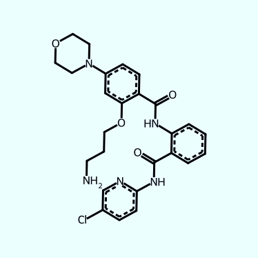 NCCCOc1cc(N2CCOCC2)ccc1C(=O)Nc1ccccc1C(=O)Nc1ccc(Cl)cn1